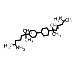 CC(N)CCCC(C)(C)C1CCC(C2CCC(C(C)(C)CCCC(C)N)CC2)CC1